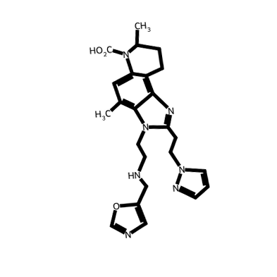 Cc1cc2c(c3nc(CCn4cccn4)n(CCNCc4cnco4)c13)CCC(C)N2C(=O)O